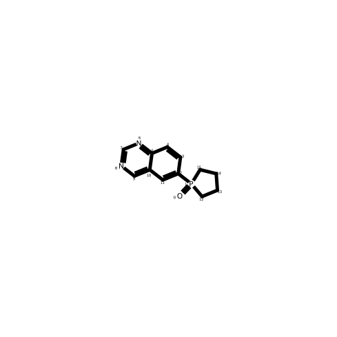 O=P1(c2ccc3ncncc3c2)CCCC1